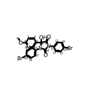 COc1ccc(C2(O)C(=O)N(c3ccc(Br)cc3)C(=O)N2c2ccc(Br)cc2)cn1